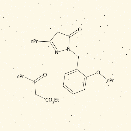 CCCC(=O)CC(=O)OCC.CCCOc1ccccc1CN1N=C(CCC)CC1=O